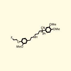 COc1ccc([C@@](C#N)(CCCNCCc2ccc(OCCF)c(OC)c2)C(C)C)cc1OC